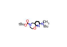 CCC(C)N(C)c1ccc2c(n1)OCCN(C(=O)OC(C)(C)C)C2